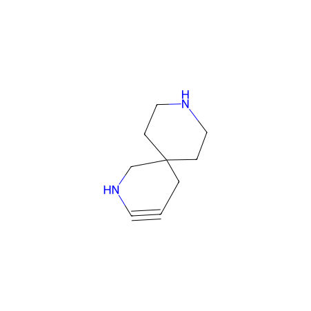 C1#CNCC2(C1)CCNCC2